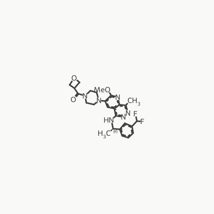 COc1nc2c(C)nnc(N[C@H](C)c3cccc(C(F)F)c3)c2cc1N1CCN(C(=O)C2COC2)CC1